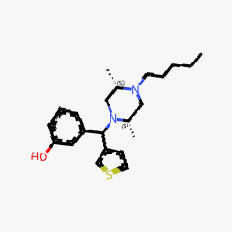 CCCCCN1C[C@H](C)N(C(c2ccsc2)c2cccc(O)c2)C[C@@H]1C